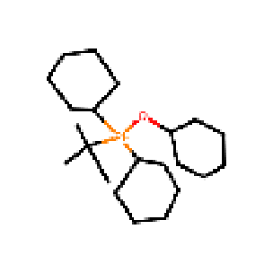 CC(C)(C)[PH](OC1CCCCC1)(C1CCCCC1)C1CCCCC1